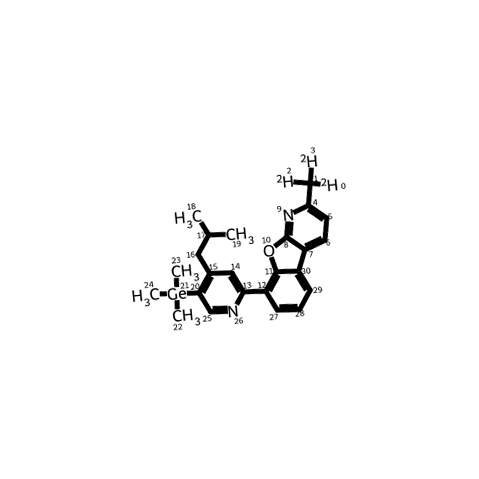 [2H]C([2H])([2H])c1ccc2c(n1)oc1c(-c3cc(CC(C)C)[c]([Ge]([CH3])([CH3])[CH3])cn3)cccc12